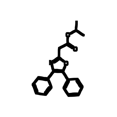 CC(C)OC(=O)Cc1nc(-c2ccccc2)c(-c2ccccc2)o1